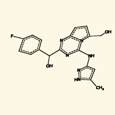 Cc1cc(Nc2nc(C(O)c3ccc(F)cc3)nc3ccc(CO)n23)n[nH]1